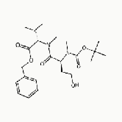 CC(C)[C@@H](C(=O)OCc1ccccc1)N(C)C(=O)[C@H](CCO)N(C)C(=O)OC(C)(C)C